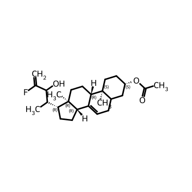 C=C(F)C(O)C(C)[C@H]1CC[C@H]2C3=CCC4C[C@@H](OC(C)=O)CC[C@]4(C)[C@H]3CC[C@]12C